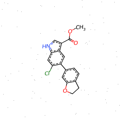 COC(=O)c1c[nH]c2cc(Cl)c(-c3ccc4c(c3)OCC4)cc12